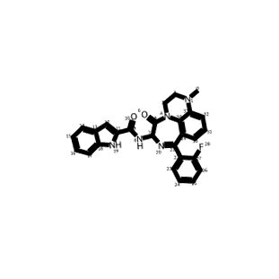 CN1CCN2C(=O)C(NC(=O)c3cc4ccccc4[nH]3)N=C(c3ccccc3F)c3cccc1c32